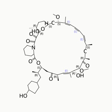 CO[C@H]1C[C@@H]2CC[C@@H](C)[C@@](O)(O2)C(=O)C(=O)N2CCCCC2C(=O)O[C@H]([C@H](C)CC2CCC(O)CC2)CC(=O)[C@H](C)/C=C(\C)[C@@H](O)[C@@H](OC)C(=O)[C@H](C)C[C@H](C)/C=C/C=C/C=C/1C